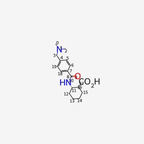 CN(C)Cc1ccc(C(=O)N[C@H]2CCCCC2C(=O)O)cc1